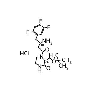 CC(C)(C)OC[C@H]1C(=O)NCCN1C(=O)C[C@H](N)Cc1cc(F)c(F)cc1F.Cl